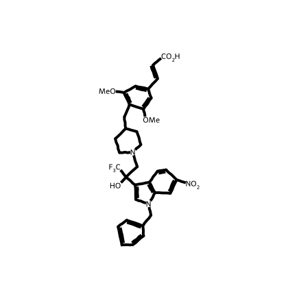 COc1cc(/C=C/C(=O)O)cc(OC)c1CC1CCN(CC(O)(c2cn(Cc3ccccc3)c3cc([N+](=O)[O-])ccc23)C(F)(F)F)CC1